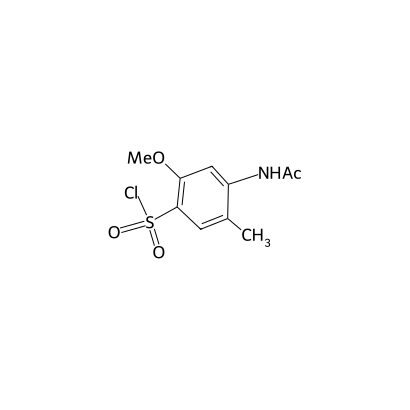 COc1cc(NC(C)=O)c(C)cc1S(=O)(=O)Cl